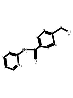 O=C(Nc1ccccn1)c1ccc(CCl)cc1